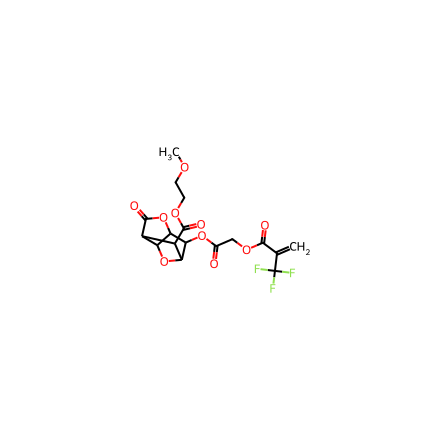 C=C(C(=O)OCC(=O)OC1C2OC(=O)C3C2OC1C3C(=O)OCCOC)C(F)(F)F